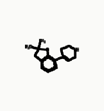 CC1(C)Cc2cccc(C3=CCNCC3)c2O1